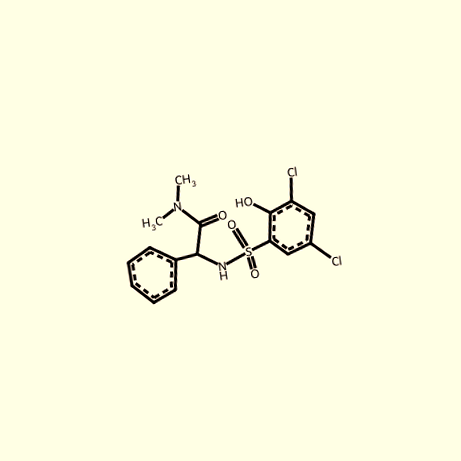 CN(C)C(=O)C(NS(=O)(=O)c1cc(Cl)cc(Cl)c1O)c1ccccc1